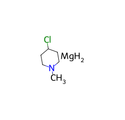 CN1CCC(Cl)CC1.[MgH2]